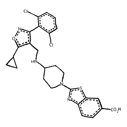 O=C(O)c1ccc2nc(N3CCC(NCc4c(-c5c(Cl)cccc5Cl)noc4C4CC4)CC3)sc2c1